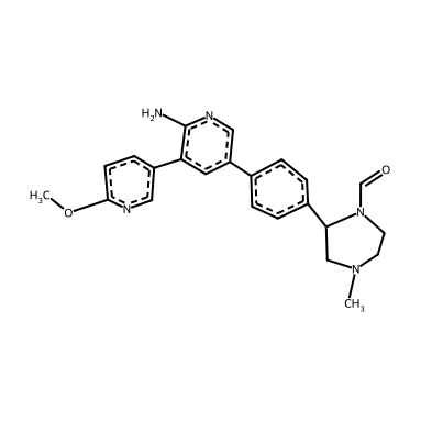 COc1ccc(-c2cc(-c3ccc(C4CN(C)CCN4C=O)cc3)cnc2N)cn1